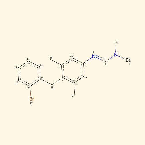 CCN(C)C=Nc1cc(C)c(Cc2ccccc2Br)c(C)c1